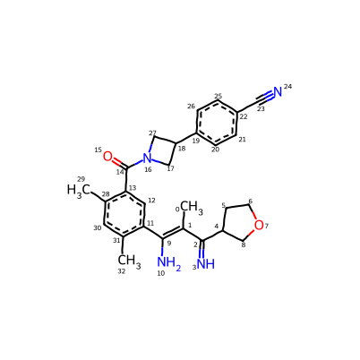 C/C(C(=N)C1CCOC1)=C(/N)c1cc(C(=O)N2CC(c3ccc(C#N)cc3)C2)c(C)cc1C